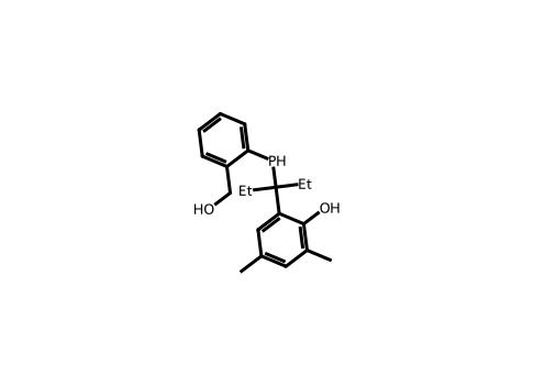 CCC(CC)(Pc1ccccc1CO)c1cc(C)cc(C)c1O